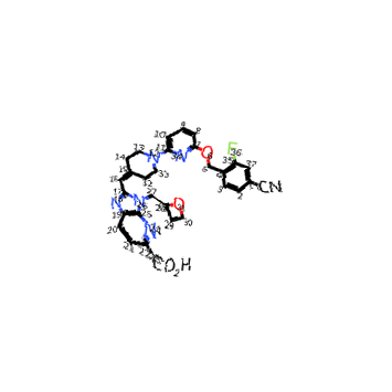 N#Cc1ccc(COc2cccc(N3CCC(=Cc4nc5ccc(C(=O)O)nc5n4C[C@@H]4CCO4)CC3)n2)c(F)c1